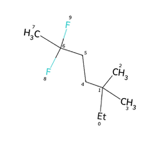 CCC(C)(C)CCC(C)(F)F